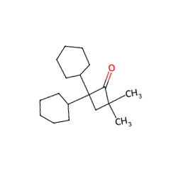 CC1(C)CC(C2CCCCC2)(C2CCCCC2)C1=O